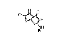 O=c1[nH]c(NBr)nc2nc(Cl)[nH]c12